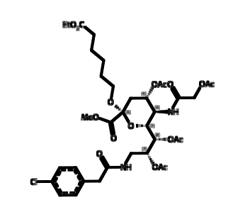 CCOC(=O)CCCCCO[C@]1(C(=O)OC)C[C@H](OC(C)=O)[C@@H](NC(=O)COC(C)=O)[C@H]([C@H](OC(C)=O)[C@@H](CNC(=O)Cc2ccc(Cl)cc2)OC(C)=O)O1